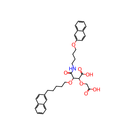 O=C(O)COC(C(=O)O)C(OCCCCCc1ccc2ccccc2c1)C(=O)NCCCCOc1ccc2ccccc2c1